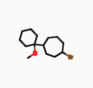 COC1(C2CCCC(Br)CC2)CCCCC1